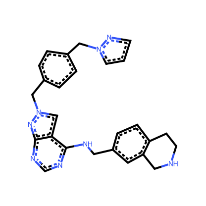 c1cnn(Cc2ccc(Cn3cc4c(NCc5ccc6c(c5)CNCC6)ncnc4n3)cc2)c1